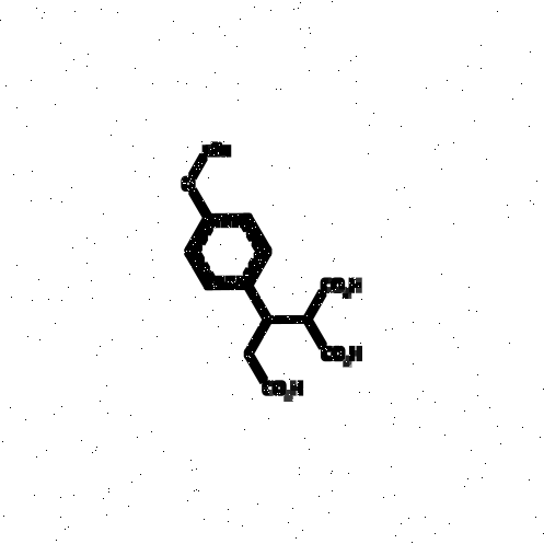 CCCCOc1ccc(C(CC(=O)O)C(C(=O)O)C(=O)O)cc1